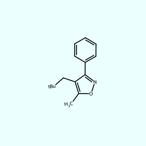 Cc1onc(-c2ccccc2)c1CC(C)(C)C